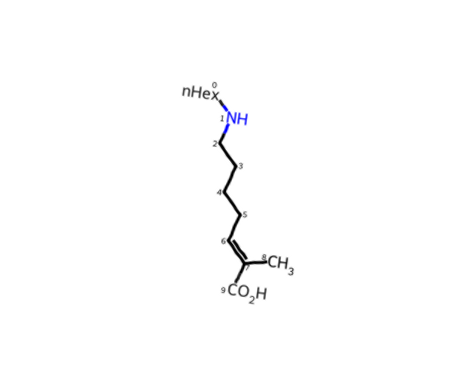 CCCCCCNCCCCC=C(C)C(=O)O